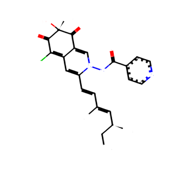 CC[C@H](C)/C=C(C)/C=C/C1=CC2=C(Cl)C(=O)[C@](C)(O)C(=O)C2=CN1NC(=O)c1ccncc1